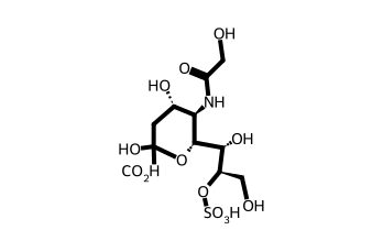 O=C(CO)N[C@H]1[C@H]([C@H](O)[C@@H](CO)OS(=O)(=O)O)OC(O)(C(=O)O)C[C@@H]1O